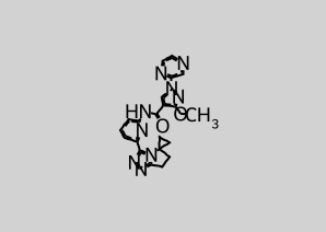 COc1nn(-c2cnccn2)cc1C(=O)Nc1cccc(-c2nnc3n2C2(CC3)CC2)n1